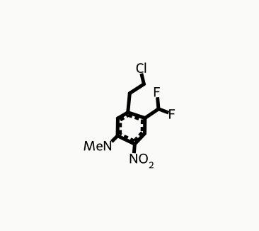 CNc1cc(CCCl)c(C(F)F)cc1[N+](=O)[O-]